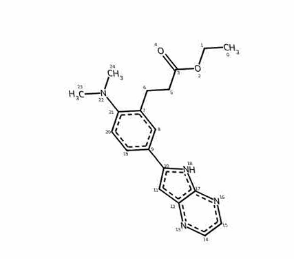 CCOC(=O)CCc1cc(-c2cc3nccnc3[nH]2)ccc1N(C)C